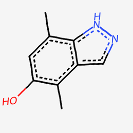 Cc1c(O)cc(C)c2[nH]ncc12